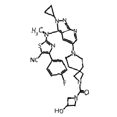 CN(c1nc(-c2ccc(F)cc2)c(C#N)s1)c1c2cc(N3CCC4(CC3)CN(C(=O)N3CC(O)C3)C4)cnc2nn1C1CC1